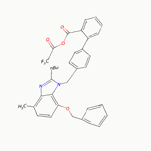 CCCCc1nc2c(C)ccc(OCc3ccccc3)c2n1Cc1ccc(-c2ccccc2C(=O)OC(=O)C(F)(F)F)cc1